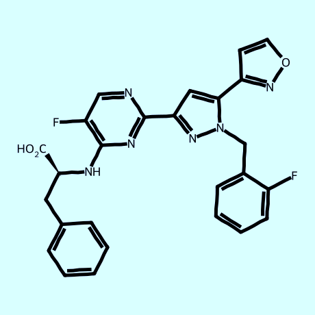 O=C(O)[C@H](Cc1ccccc1)Nc1nc(-c2cc(-c3ccon3)n(Cc3ccccc3F)n2)ncc1F